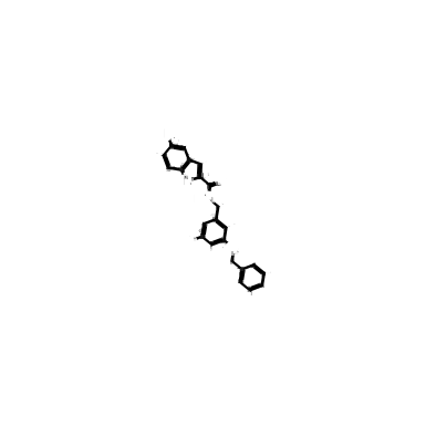 O=C(NCc1cc(O)cc(OCc2ccccc2)c1)c1cc2cc(F)ccc2[nH]1